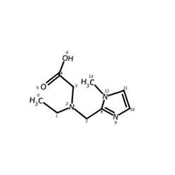 CCN(CC(=O)O)Cc1nccn1C